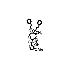 COc1ccnc(C(=O)N[C@H]2COC[C@H](OCCCc3ccccc3)[C@@H](OCCCc3ccccc3)[C@H](C)OC2=O)c1O